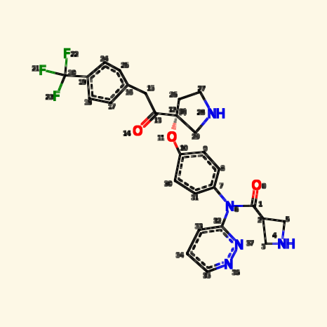 O=C(C1CNC1)N(c1ccc(O[C@]2(C(=O)Cc3ccc(C(F)(F)F)cc3)CCNC2)cc1)c1cccnn1